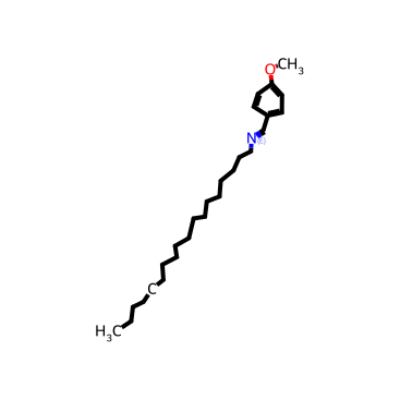 CCCCCCCCCCCCCCCCCC/N=C/c1ccc(OC)cc1